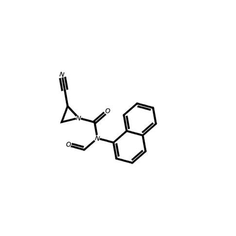 N#CC1CN1C(=O)N(C=O)c1cccc2ccccc12